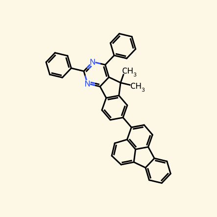 CC1(C)c2cc(-c3ccc4c5c(cccc35)-c3ccccc3-4)ccc2-c2nc(-c3ccccc3)nc(-c3ccccc3)c21